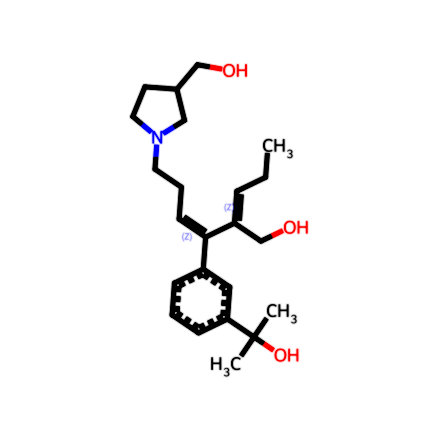 CC/C=C(CO)/C(=C\CCN1CCC(CO)C1)c1cccc(C(C)(C)O)c1